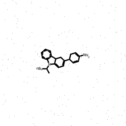 CCCCC(C)N1C2=CC=C(C3C=CC(N)=CC3)CC2c2ccccc21